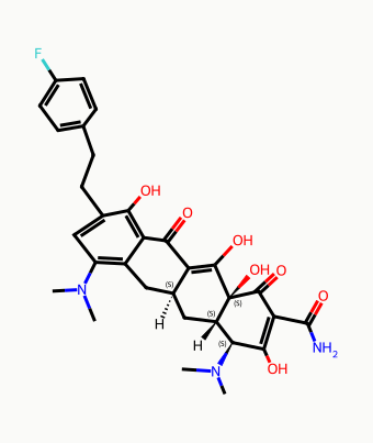 CN(C)c1cc(CCc2ccc(F)cc2)c(O)c2c1C[C@@H]1C[C@H]3[C@H](N(C)C)C(O)=C(C(N)=O)C(=O)[C@@]3(O)C(O)=C1C2=O